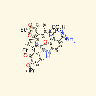 CCOc1cc([C@H](Nc2ccc3c(N)nccc3c2)C(=O)N2CCC[C@H]2c2cc(NC(=O)O)ccc2S(=O)(=O)CC)ccc1OC(C)C